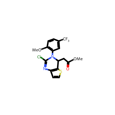 COC(=O)CC1c2sccc2N=C(Cl)N1c1cc(C(F)(F)F)ccc1OC